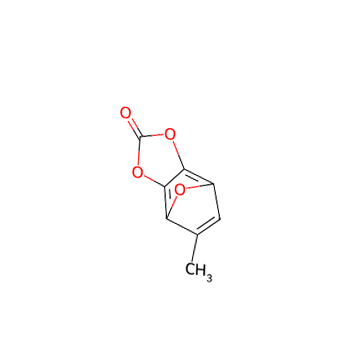 Cc1cc2oc1c1oc(=O)oc21